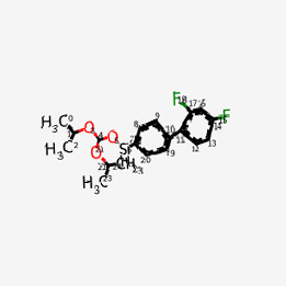 CC(C)OC(O[SiH2]c1ccc(-c2ccc(F)cc2F)cc1)OC(C)C